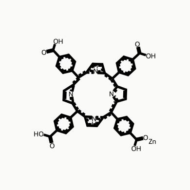 O=C(O)c1ccc(-c2c3nc(c(-c4ccc(C(=O)O)cc4)c4ccc([nH]4)c(-c4ccc(C(=O)O)cc4)c4nc(c(-c5ccc(C(=O)O)cc5)c5ccc2[nH]5)C=C4)C=C3)cc1.[Zn]